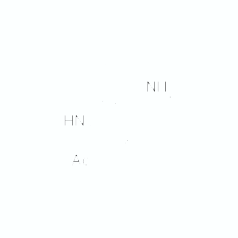 CC(=O)NC(C)(C)N